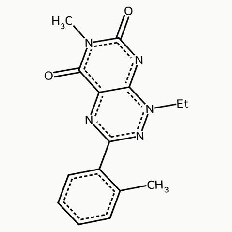 CCn1nc(-c2ccccc2C)nc2c(=O)n(C)c(=O)nc1-2